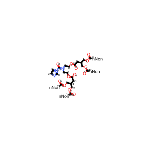 CCCCCCCCCC(=O)OCC(COC(=O)CCCCCCCCC)CC(=O)OCCN(CCOC(=O)CC(COC(=O)CCCCCCCCC)COC(=O)CCCCCCCCC)C(=O)n1ccnc1